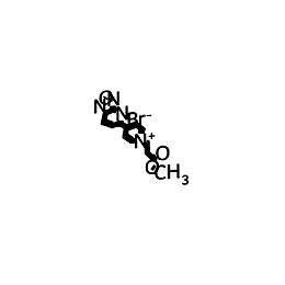 COC(=O)CC[n+]1ccc(-c2ccc3nonc3n2)cc1.[Br-]